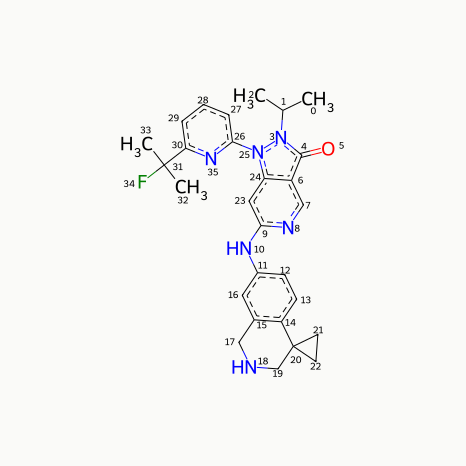 CC(C)n1c(=O)c2cnc(Nc3ccc4c(c3)CNCC43CC3)cc2n1-c1cccc(C(C)(C)F)n1